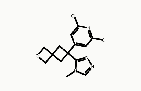 Cn1cnnc1C1(c2cc(Cl)nc(Cl)c2)CC2(COC2)C1